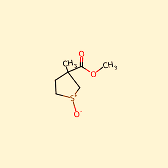 COC(=O)C1(C)CC[S+]([O-])C1